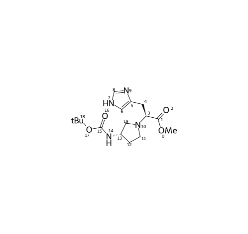 COC(=O)[C@H](Cc1c[nH]cn1)N1CC[C@H](NC(=O)OC(C)(C)C)C1